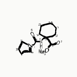 COC(=O)C1(NC(=O)n2cccc2)CCCCC1